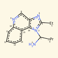 CCCC(N)n1c(CC)nc2cnc3ccccc3c21